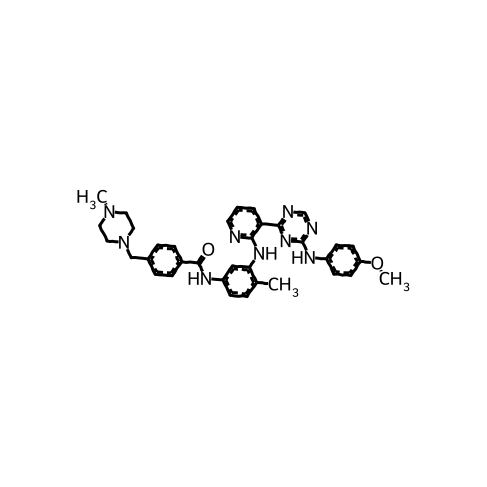 COc1ccc(Nc2ncnc(-c3cccnc3Nc3cc(NC(=O)c4ccc(CN5CCN(C)CC5)cc4)ccc3C)n2)cc1